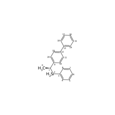 C[C@H]([SiH2]c1ccccc1)c1ccc(-c2ccccc2)cc1